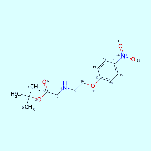 CC(C)(C)OC(=O)CNCCOc1ccc([N+](=O)[O-])cc1